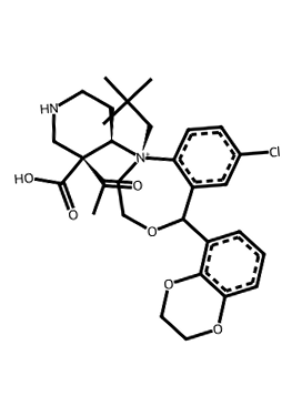 CC(=O)[C@@]1(C(=O)O)CNCC[C@H]1[N@@+]1(CC(C)(C)C)CCOC(c2cccc3c2OCCO3)c2cc(Cl)ccc21